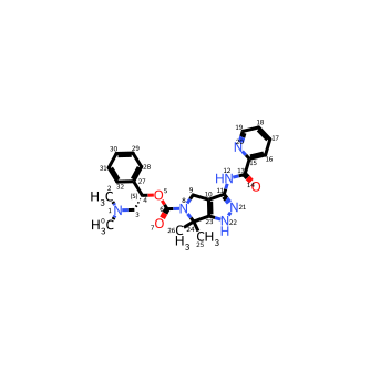 CN(C)C[C@@H](OC(=O)N1Cc2c(NC(=O)c3ccccn3)n[nH]c2C1(C)C)c1ccccc1